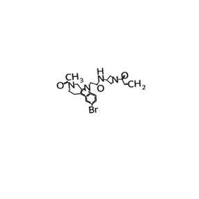 C=CC(=O)N1CC(NC(=O)Cn2c3c(c4cc(Br)ccc42)CCN(C(C)=O)C3)C1